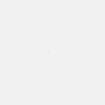 CC(C)(Sc1cccc(-n2c(=O)[nH]c3csc(C(=O)O)c3c2=O)c1)c1cccc(F)c1